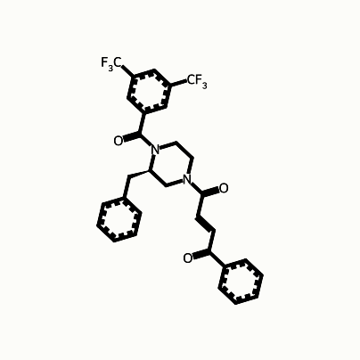 O=C(/C=C/C(=O)N1CCN(C(=O)c2cc(C(F)(F)F)cc(C(F)(F)F)c2)[C@H](Cc2ccccc2)C1)c1ccccc1